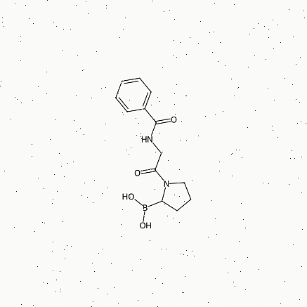 O=C(NCC(=O)N1CCCC1B(O)O)c1ccccc1